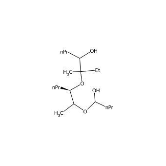 CCCC(O)OC(C)[C@@H](CCC)OC(C)(CC)C(O)CCC